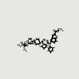 COC(=O)c1cc2cc(NC(=O)[C@@H]3[C@H](C4CCCCC4)CCN3C(=O)[C@H]3CC[C@H]([C@@H](CF)NC(=O)OC(C)(C)C)CC3)ccc2s1